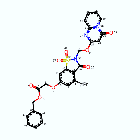 CC(C)c1cc(OCC(=O)OCc2ccccc2)cc2c1C(=O)N(COc1cc(=O)n3ccccc3n1)S2(=O)=O